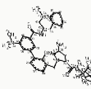 COc1c(CN2C[C@@H](N)C[C@H]2C(=O)N[C@H]2C[C@H]3C[C@@H]([C@@H]2C)C3(C)C)cccc1-c1cc(C(=O)N[C@@H](Cc2ccccc2)CN(C)C)cc(N(C)C)c1